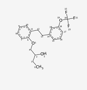 CCC(O)COc1ccccc1CCc1cccc(OC(F)(F)F)c1